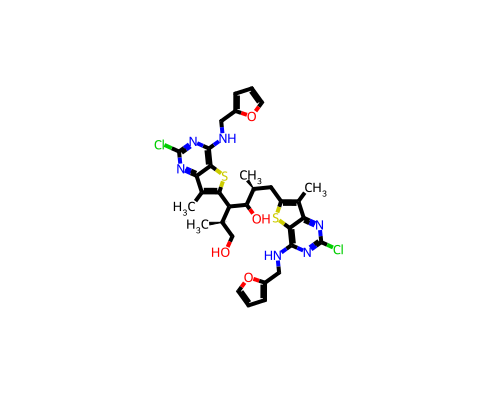 Cc1c(C[C@H](C)C(O)C(c2sc3c(NCc4ccco4)nc(Cl)nc3c2C)[C@H](C)CO)sc2c(NCc3ccco3)nc(Cl)nc12